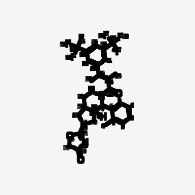 Cc1ccccc1C1[C@@H]2CN(C3=NC(=O)CO3)CC2CCN1C(=O)N(C)C(C)c1cc(C(F)(F)F)cc(C(F)(F)F)c1